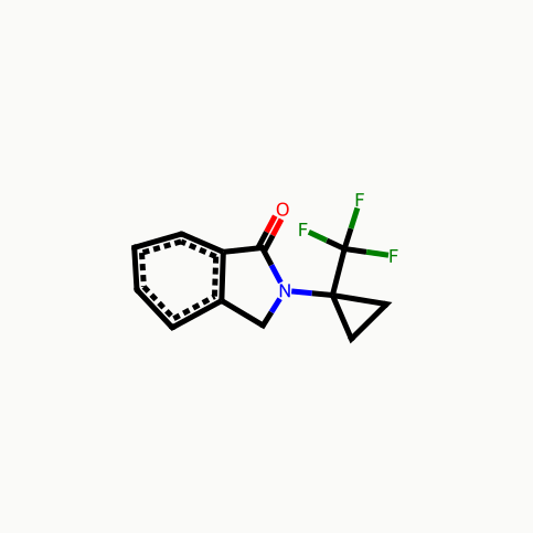 O=C1c2ccccc2CN1C1(C(F)(F)F)CC1